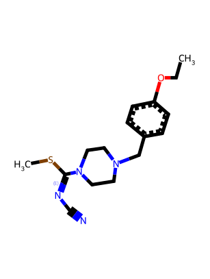 CCOc1ccc(CN2CCN(/C(=N\C#N)SC)CC2)cc1